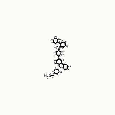 C=Cc1ccc(-n2c3ccccc3c3cc(-c4ccc(Nc5ccccc5-c5ccccc5)cc4)ccc32)cc1